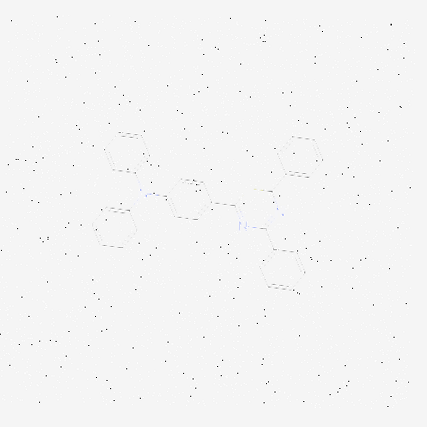 c1ccc(C2=NC(c3ccccc3)SC(c3ccc(N(c4ccccc4)c4ccccc4)cc3)=N2)cc1